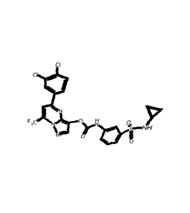 O=C(Nc1cccc(S(=O)(=O)NC2CC2)c1)Oc1cnn2c(C(F)(F)F)cc(-c3ccc(Cl)c(Cl)c3)nc12